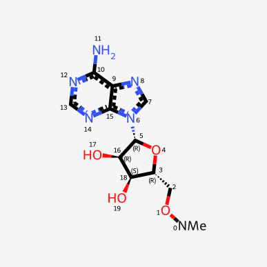 CNOC[C@H]1O[C@@H](n2cnc3c(N)ncnc32)[C@H](O)[C@@H]1O